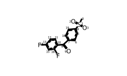 CS(=O)(=O)c1ccc(C(=O)c2ccc(F)cc2F)cc1